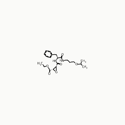 CCOC(=O)[C@H]1O[C@@H]1C(=O)N[C@@H](Cc1ccccc1)C(=O)NCCCOC(C)C